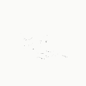 C=C(NC1CC1F)c1c(OC)cc(-c2cnn3cc(C(C)(C)C#N)cnc23)cc1OC(F)F